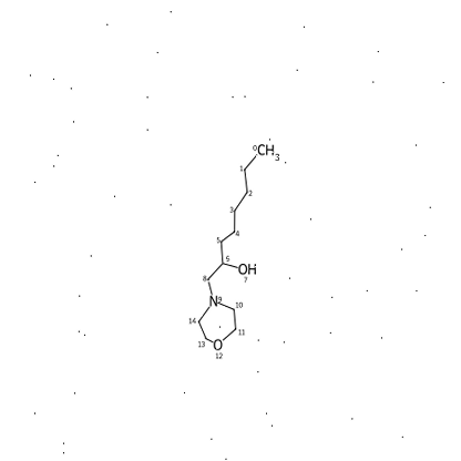 CCCCCCC(O)CN1CCOCC1